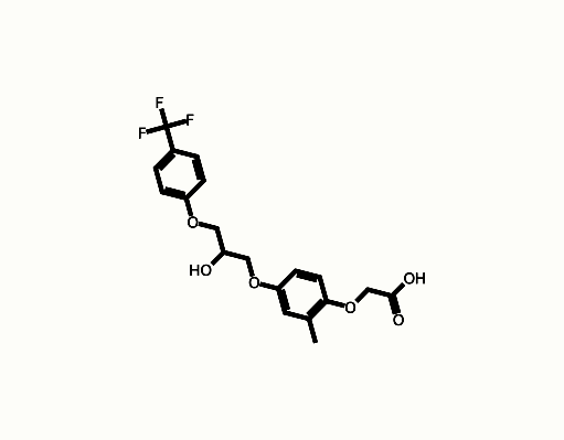 Cc1cc(OCC(O)COc2ccc(C(F)(F)F)cc2)ccc1OCC(=O)O